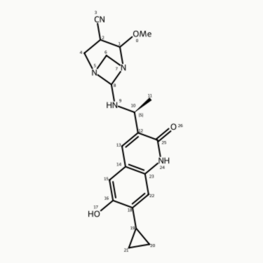 COC1C(C#N)CN2CN1C2N[C@@H](C)c1cc2cc(O)c(C3CC3)cc2[nH]c1=O